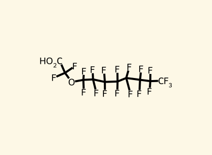 O=C(O)C(F)(F)OC(F)(F)C(F)(F)C(F)(F)C(F)(F)C(F)(F)C(F)(F)C(F)(F)C(F)(F)F